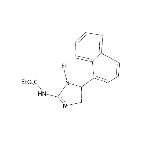 CCOC(=O)NC1=NCC(c2cccc3ccccc23)N1CC